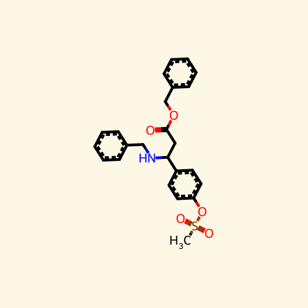 CS(=O)(=O)Oc1ccc(C(CC(=O)OCc2ccccc2)NCc2ccccc2)cc1